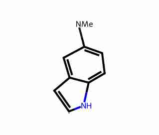 CNc1ccc2[nH][c]cc2c1